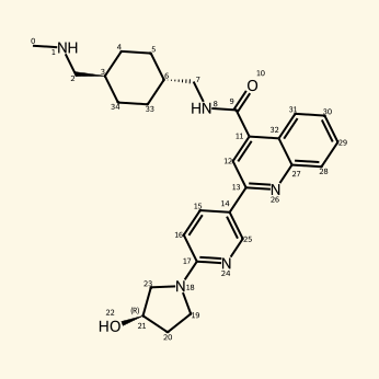 CNC[C@H]1CC[C@H](CNC(=O)c2cc(-c3ccc(N4CC[C@@H](O)C4)nc3)nc3ccccc23)CC1